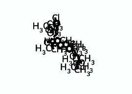 CC(C)C1=C2[C@H]3CC[C@@H]4[C@@]5(C)CC[C@H](OC(=O)CC(C)(C)C(=O)OC(C)(C)C)C(C)(C)[C@@H]5CC[C@@]4(C)[C@]3(C)CC[C@@]2(CCN(Cc2ccc(Cl)cc2)C(=O)OC(C)(C)C)CC1=O